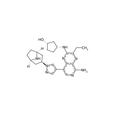 CCc1nc2c(N)ncc(-c3cnn([C@H]4C[C@H]5CC[C@@H](C4)N5)c3)c2nc1N[C@@H]1CC[C@H](O)C1